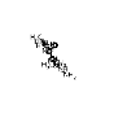 CCNC(=O)Nc1nc2cc(-c3cnc(C(C)(C)OC(=O)CNCCN)nc3)cc(-c3ccccn3)c2s1